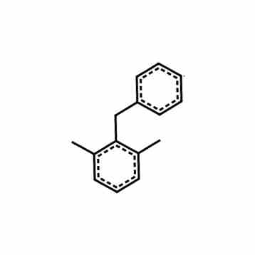 Cc1cccc(C)c1Cc1cc[c]cc1